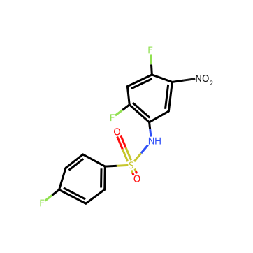 O=[N+]([O-])c1cc(NS(=O)(=O)c2ccc(F)cc2)c(F)cc1F